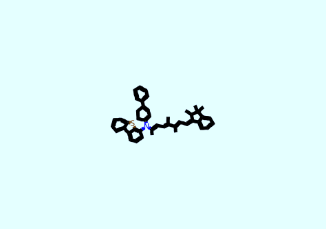 CC(=C\C=C1\c2ccccc2C(C)(C)C1C)/C(C)=C/C=C(\C)N(C1=CC=C(c2ccccc2)CC1)c1cccc2c1sc1ccccc12